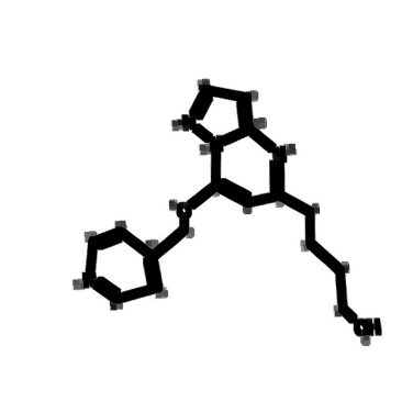 OCCCCc1cc(OCc2ccncc2)n2nccc2n1